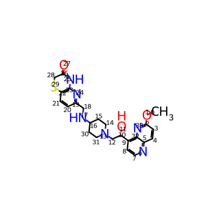 COc1ccc2nccc([C@@H](O)CN3CCC(NCc4ccc5c(n4)NC(=O)CS5)CC3)c2n1